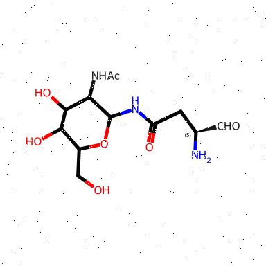 CC(=O)NC1C(NC(=O)C[C@H](N)C=O)OC(CO)C(O)C1O